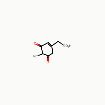 N#CC1C(=O)C=C(CC(=O)O)CC1=O